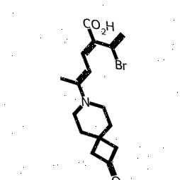 C=C(Br)/C(=C\C=C(/C)N1CCC2(CC1)CC(=O)C2)C(=O)O